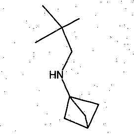 CC(C)(C)CNC12CC(C1)C2